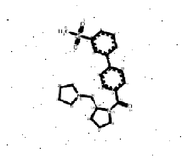 CS(=O)(=O)c1cccc(-c2ccc(C(=O)N3CCC[C@H]3CN3CCCC3)cc2)c1